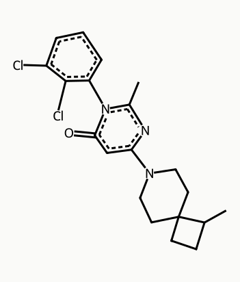 Cc1nc(N2CCC3(CCC3C)CC2)cc(=O)n1-c1cccc(Cl)c1Cl